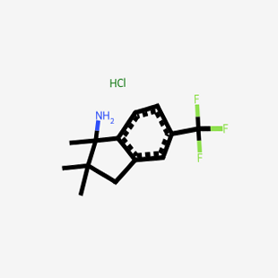 CC1(C)Cc2cc(C(F)(F)F)ccc2C1(C)N.Cl